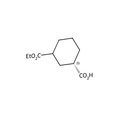 CCOC(=O)C1CCC[C@H](C(=O)O)C1